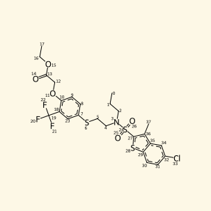 CCCN(CCSc1ccc(OCC(=O)OCC)c(C(F)(F)F)c1)S(=O)(=O)c1sc2ccc(Cl)cc2c1C